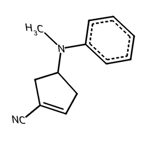 CN(c1ccccc1)C1CC=C(C#N)C1